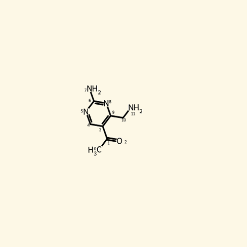 CC(=O)c1cnc(N)nc1CN